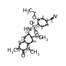 CCOc1cc(C#N)ccc1S(=O)(=O)Nc1cc2cc(C)c(=O)n(C)c2cc1OC